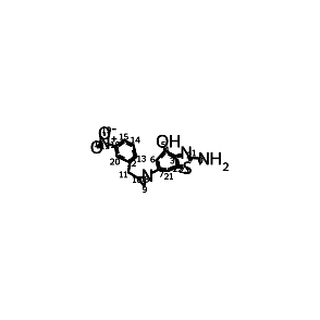 Nc1nc2c(O)cc(N3CC3Cc3cccc([N+](=O)[O-])c3)cc2s1